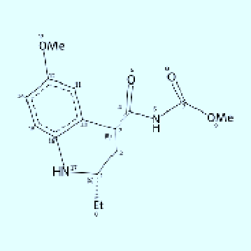 CC[C@H]1C[C@@H](C(=O)NC(=O)OC)c2cc(OC)ccc2N1